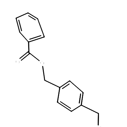 O=CCc1ccc(COC(=O)c2ccccc2)cc1